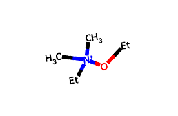 CCO[N+](C)(C)CC